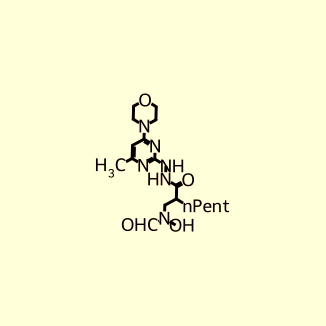 CCCCCC(CN(O)C=O)C(=O)NNc1nc(C)cc(N2CCOCC2)n1